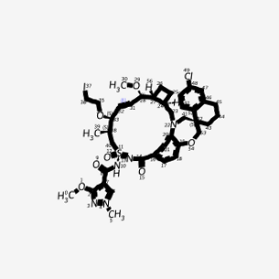 COc1nn(C)cc1C(=O)N[S@@]1(=O)=NC(=O)c2ccc3c(c2)N(C[C@@H]2CC[C@H]2[C@@H](OC)/C=C/[C@H](OCCI)[C@H](C)C1)C[C@@]1(CCCc2cc(Cl)ccc21)CO3